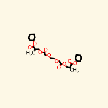 C=C(COC(=O)COCCOCC(=O)OCC(=C)C(=O)OC1CCCCC1)C(=O)OC1CCCCC1